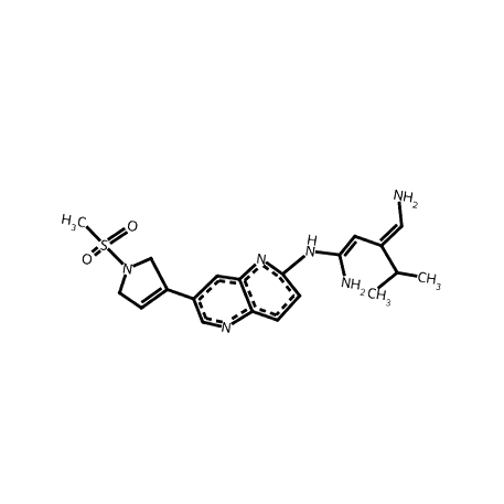 CC(C)C(=C/N)/C=C(\N)Nc1ccc2ncc(C3=CCN(S(C)(=O)=O)C3)cc2n1